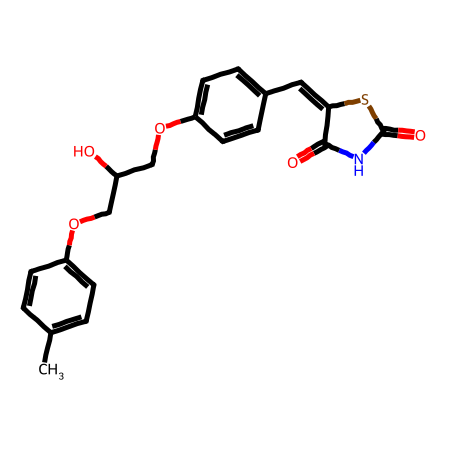 Cc1ccc(OCC(O)COc2ccc(C=C3SC(=O)NC3=O)cc2)cc1